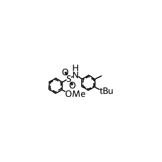 COc1ccccc1S(=O)(=O)Nc1ccc(C(C)(C)C)c(C)c1